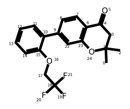 CC1(C)CC(=O)c2ccc(-c3ccccc3OCC(F)(F)F)cc2O1